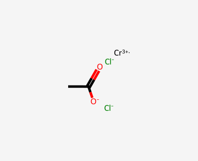 CC(=O)[O-].[Cl-].[Cl-].[Cr+3]